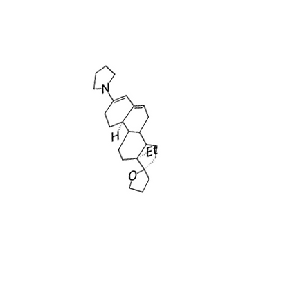 CC[C@]12CCC3C(CC=C4C=C(N5CCCC5)CC[C@@H]43)C1CC[C@@]21CCCO1